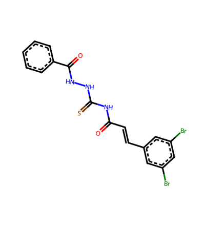 O=C(C=Cc1cc(Br)cc(Br)c1)NC(=S)NNC(=O)c1ccccc1